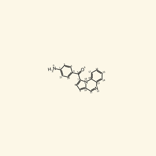 Nc1ccc(C(=O)c2ccc3cnc4ccccc4n23)cc1